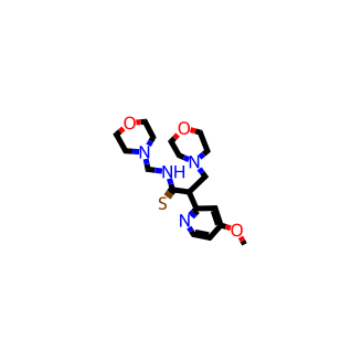 COc1ccnc(C(CN2CCOCC2)C(=S)NCN2CCOCC2)c1